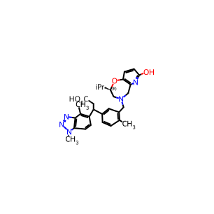 Cc1ccc(C(CC(=O)O)c2ccc3c(nnn3C)c2C)cc1CN1Cc2nc(O)ccc2O[C@H](C(C)C)C1